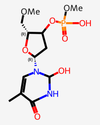 COC[C@H]1O[C@@H](N2C=C(C)C(=O)NC2O)CC1OP(=O)(O)OC